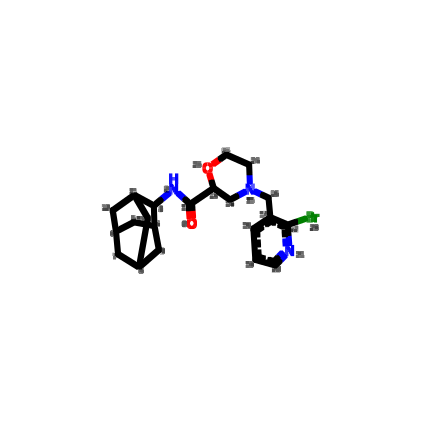 O=C(NC1C2CC3CC(C2)CC1C3)C1CN(Cc2cccnc2Br)CCO1